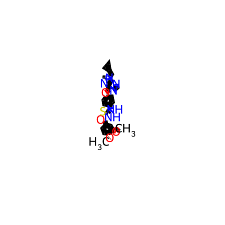 COc1ccc(C(=O)NC(=S)Nc2ccc(Oc3ncnc4c3ncn4CC3CC3)cc2)cc1OC